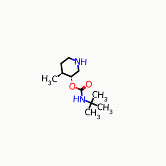 C[C@H]1CCNC[C@@H]1OC(=O)NC(C)(C)C